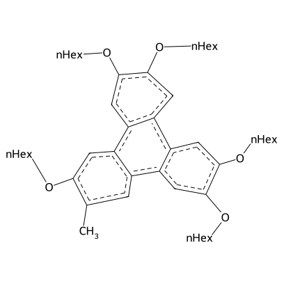 CCCCCCOc1cc2c(cc1C)c1cc(OCCCCCC)c(OCCCCCC)cc1c1cc(OCCCCCC)c(OCCCCCC)cc21